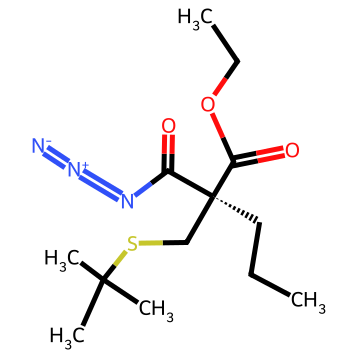 CCC[C@](CSC(C)(C)C)(C(=O)N=[N+]=[N-])C(=O)OCC